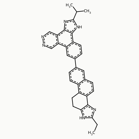 CCc1nc2c([nH]1)CCc1c-2ccc2cc(-c3ccc4c(c3)c3cnncc3c3nc(C(C)C)[nH]c43)ccc12